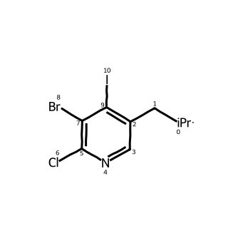 C[C](C)Cc1cnc(Cl)c(Br)c1I